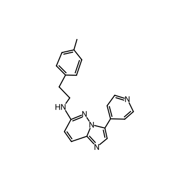 Cc1ccc(CCNc2ccc3ncc(-c4ccncc4)n3n2)cc1